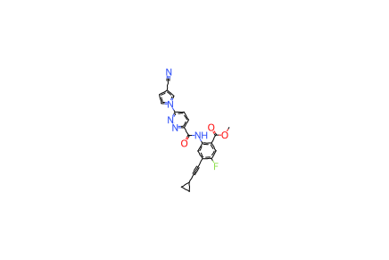 COC(=O)c1cc(F)c(C#CC2CC2)cc1NC(=O)c1ccc(-n2ccc(C#N)c2)nn1